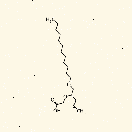 CCCCCCCCCCCCOCC(CSC)OCC(=O)O